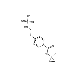 CC1(NC(=O)c2cc[n+](CCNS(=O)(=O)[O-])nc2)CC1